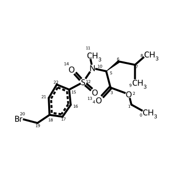 CCOC(=O)[C@H](CC(C)C)N(C)S(=O)(=O)c1ccc(CBr)cc1